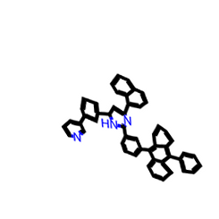 C1=C(c2cccc3ccccc23)N=C(c2cccc(-c3c4ccccc4c(-c4ccccc4)c4ccccc34)c2)NC1c1cccc(-c2cccnc2)c1